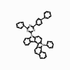 c1ccc(-c2ccc(-c3nc(-c4ccccc4)nc(-n4c5ccccc5c5c6c7ccc8ccccc8c7n(-c7ccccc7)c6ccc54)n3)cc2)cc1